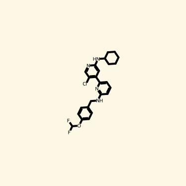 FC(F)Oc1ccc(CNc2cccc(-c3cc(NC4CCCCC4)ncc3Cl)n2)cc1